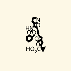 O=C(Nc1c(C#Cc2cc3cc(C4(C(=O)O)CC4)oc3o2)oc2ncccc12)OCc1ccccc1